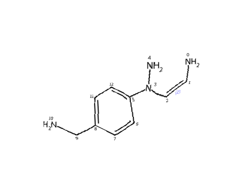 N/C=C\N(N)c1ccc(CN)cc1